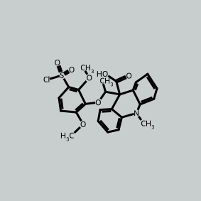 COc1ccc(S(=O)(=O)Cl)c(OC)c1OC(C)C1(C(=O)O)c2ccccc2N(C)c2ccccc21